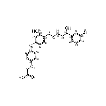 Cl.O=C(O)COc1ccc(Oc2ccc(CCNC[C@@H](O)c3cccc(Cl)c3)cc2)cc1